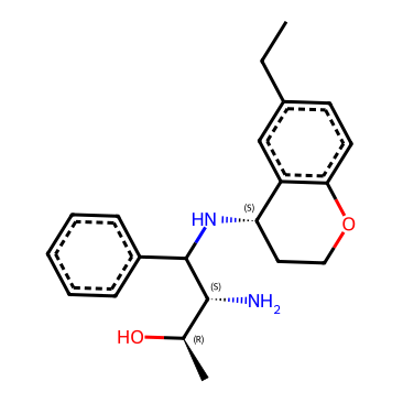 CCc1ccc2c(c1)[C@@H](NC(c1ccccc1)[C@H](N)[C@@H](C)O)CCO2